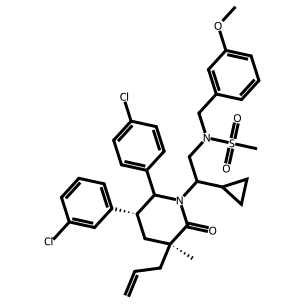 C=CC[C@@]1(C)C[C@H](c2cccc(Cl)c2)C(c2ccc(Cl)cc2)N(C(CN(Cc2cccc(OC)c2)S(C)(=O)=O)C2CC2)C1=O